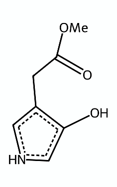 COC(=O)Cc1c[nH]cc1O